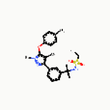 CCn1nc(-c2cccc(C(C)(C)NS(=O)(=O)CC(F)(F)F)c2)c(C#N)c1Oc1ccc(C(F)(F)F)cc1